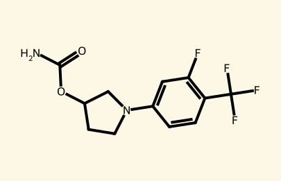 NC(=O)OC1CCN(c2ccc(C(F)(F)F)c(F)c2)C1